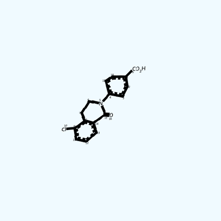 O=C(O)c1ccc(N2CCc3c(Cl)cccc3C2=O)cc1